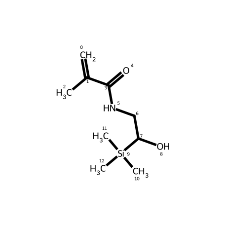 C=C(C)C(=O)NCC(O)[Si](C)(C)C